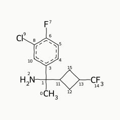 CC(N)(c1ccc(F)c(Cl)c1)C1CC(C(F)(F)F)C1